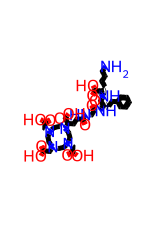 NCCCC[C@@H](NC(=O)[C@@H](CCc1ccccc1)NC(=O)CNC(=O)CCC(C(=O)O)N1CCN(CC(=O)O)CCN(CC(=O)O)CCN(CC(=O)O)CC1)C(=O)O